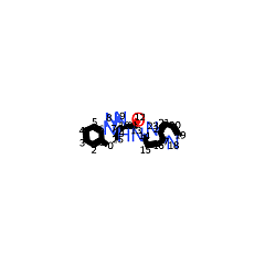 Cc1ccccc1-n1nnc(C(=O)Nc2ccc3ncccc3n2)c1C